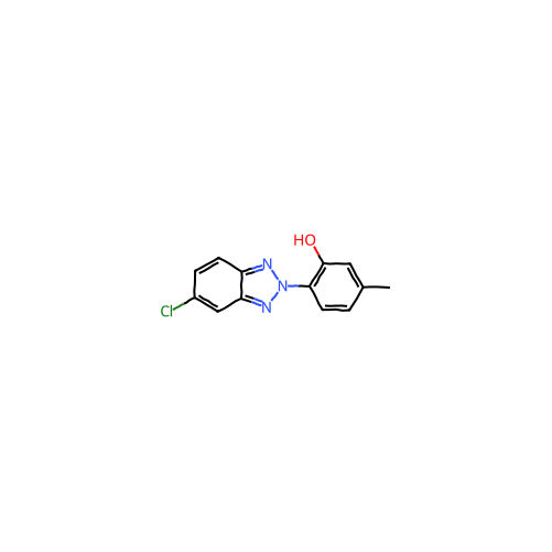 Cc1ccc(-n2nc3ccc(Cl)cc3n2)c(O)c1